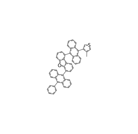 Cc1cscc1-c1c2ccccc2c(-c2cccc3oc4c(-c5c6ccccc6c(-c6ccccc6)c6ccccc56)cccc4c23)c2ccccc12